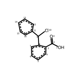 O=C(O)c1ccccc1C(Cl)c1ccccc1